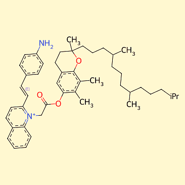 Cc1c(OC(=O)C[n+]2c(/C=C/c3ccc(N)cc3)ccc3ccccc32)cc2c(c1C)OC(C)(CCCC(C)CCCC(C)CCCC(C)C)CC2